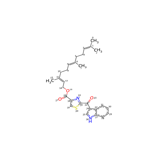 CC(C)=CCC/C(C)=C/CC/C(C)=C/COC(=O)c1csc(C(=O)c2c[nH]c3ccccc23)n1